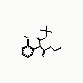 CCOC(=O)C(C(=O)OC(C)(C)C)c1ccccc1OC